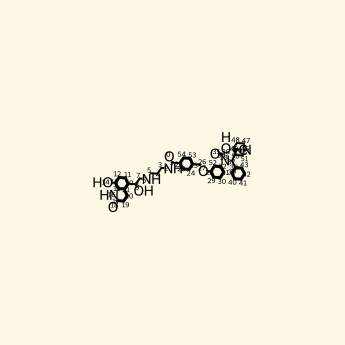 O=C(NCCCNC[C@H](O)c1ccc(O)c2[nH]c(=O)ccc12)c1ccc(COc2cccc(N(C(=O)O)[C@@H](c3ccccc3)C3CN4CCC3CC4)c2)cc1